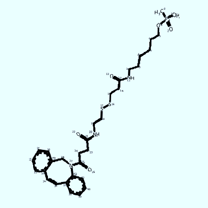 CP(=O)(O)OCCCCCCNC(=O)CCSSCCNC(=O)CCC(=O)N1Cc2ccccc2/C=C\c2ccccc21